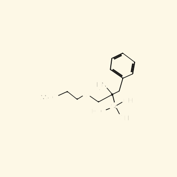 COCCOCC(N)(Cc1ccccc1)[Si](C)(C)C